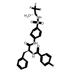 C[C@@H](NS(=O)(=O)c1ccc(NC(=O)[C@H](Cc2ccccc2)NC(=O)c2ccc(F)cc2)cc1)C(F)(F)F